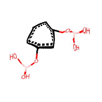 OB(O)Oc1cccc(OB(O)O)c1